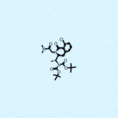 C[C@@H](c1cc2cccc(Cl)c2c(=O)n1CC(=O)N(C)C)N(C(=O)OC(C)(C)C)C(=O)OC(C)(C)C